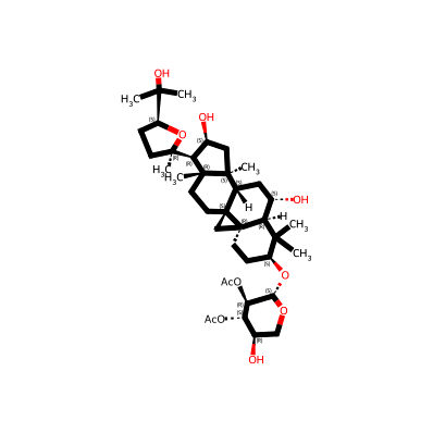 CC(=O)O[C@@H]1[C@@H](OC(C)=O)[C@H](O[C@H]2CC[C@]34C[C@]35CC[C@]3(C)[C@@H]([C@@]6(C)CC[C@@H](C(C)(C)O)O6)[C@@H](O)C[C@@]3(C)[C@@H]5C[C@H](O)[C@H]4C2(C)C)OC[C@H]1O